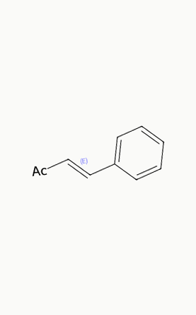 [CH2]C(=O)/C=C/c1ccccc1